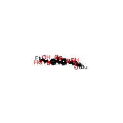 CCC(O)C(O)CCOc1ccc(C2=CC3C=CC(OCC(O)COC(=O)C(C)(C(C)(C)C)C(C)(C)C)=CC3OC2=O)cc1